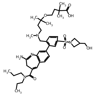 CCCN(CCC)C(=O)C1=Cc2ccc(-c3cc(S(=O)(=O)N4CC(CO)C4)ccc3CN(C)CCC(C)(C)OCCC(C)(C)C(=O)O)cc2N=C(N)C1